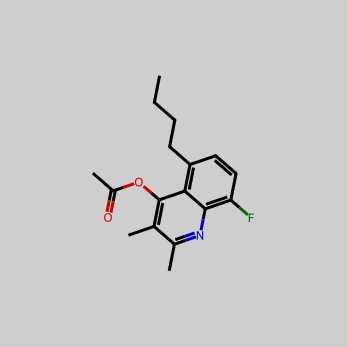 CCCCc1ccc(F)c2nc(C)c(C)c(OC(C)=O)c12